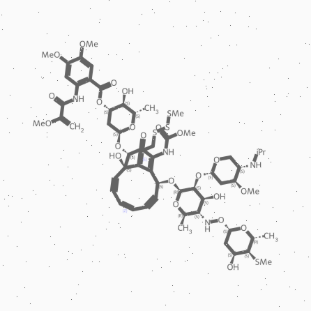 C=C(OC)C(=O)Nc1cc(OC)c(OC)cc1C(=O)O[C@H]1C[C@H](O[C@@H]2C(=O)C(NC(=O)OC)=C3/C(=C\CSSSC)[C@]2(O)C#C/C=C\C#C[C@@H]3O[C@@H]2O[C@H](C)[C@@H](NO[C@H]3C[C@H](O)[C@H](SC)[C@@H](C)O3)[C@H](O)[C@@H]2O[C@H]2C[C@H](OC)[C@@H](NC(C)C)CO2)O[C@@H](C)[C@@H]1O